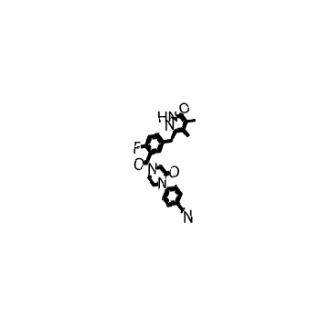 Cc1c(Cc2ccc(F)c(C(=O)N3CCN(c4ccc(C#N)cc4)C(=O)C3)c2)n[nH]c(=O)c1C